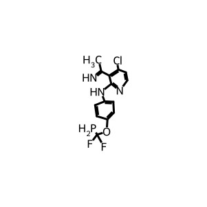 CC(=N)c1c(Cl)ccnc1Nc1ccc(OC(F)(F)P)cc1